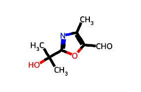 Cc1nc(C(C)(C)O)oc1C=O